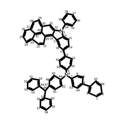 c1ccc(-c2ccc(N(c3ccc(-c4ccc5c(c4)c4c6ccc7cccc8ccc(cc4n5-c4ccccc4)c6c87)cc3)c3ccc(C(c4ccccc4)c4ccccc4)cc3)cc2)cc1